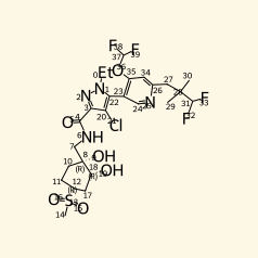 CCn1nc(C(=O)NC[C@]2(O)CC[C@@H](S(C)(=O)=O)C[C@H]2O)c(Cl)c1-c1cnc(CC(C)(C)C(F)F)cc1OC(F)F